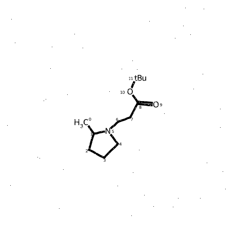 CC1CCCN1CCC(=O)OC(C)(C)C